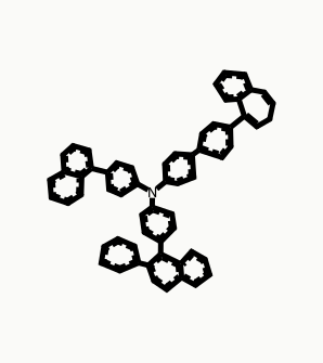 C1=Cc2ccccc2C(c2ccc(-c3ccc(N(c4ccc(-c5cccc6ccccc56)cc4)c4ccc(-c5c(-c6ccccc6)ccc6ccccc56)cc4)cc3)cc2)=CC1